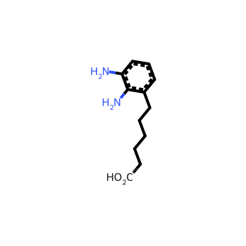 Nc1cccc(CCCCCC(=O)O)c1N